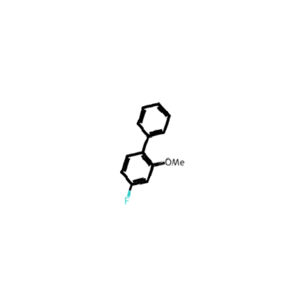 COc1cc(F)ccc1-c1cc[c]cc1